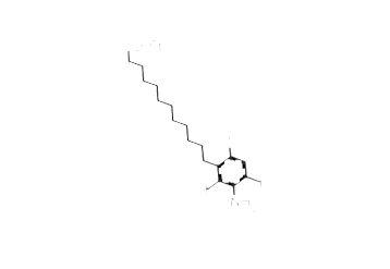 CCOC(=O)CCCCCCCCCCCc1c(I)cc(I)c(N)c1I